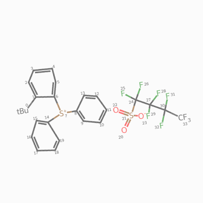 CC(C)(C)c1ccccc1[S+](c1ccccc1)c1ccccc1.O=S(=O)([O-])C(F)(F)C(F)(F)C(F)(F)C(F)(F)F